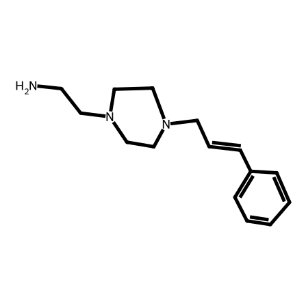 NCCN1CCN(CC=Cc2ccccc2)CC1